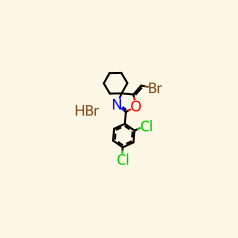 Br.Clc1ccc(C2=NC3(CCCCC3)C(=CBr)O2)c(Cl)c1